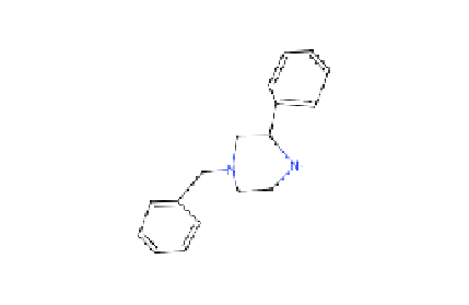 c1ccc(CN2CC[N]C(c3ccccc3)C2)cc1